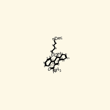 CCCCCCCCCCCCCCOc1ccccc1-c1c(C(N)=O)cc2ccccc2c1O